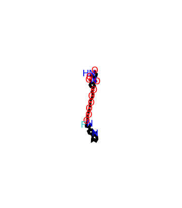 Cn1c2c(c3ccc(-c4cnc(OCCOCCOCCOCCOCCOc5ccc6c(c5)C(=O)N(C5CCC(=O)NC5=O)C6=O)c(F)c4)cc31)/C=C/C=C/C=C\2